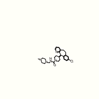 CN1CCN(CNC(=O)N2CCC(=C3c4ccc(Cl)cc4CCc4cccnc43)CC2)CC1